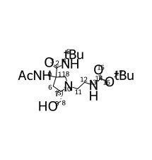 CC(=O)NC1(C(=O)NC(C)(C)C)C[C@@H](CO)N(CCNC(=O)OC(C)(C)C)C1